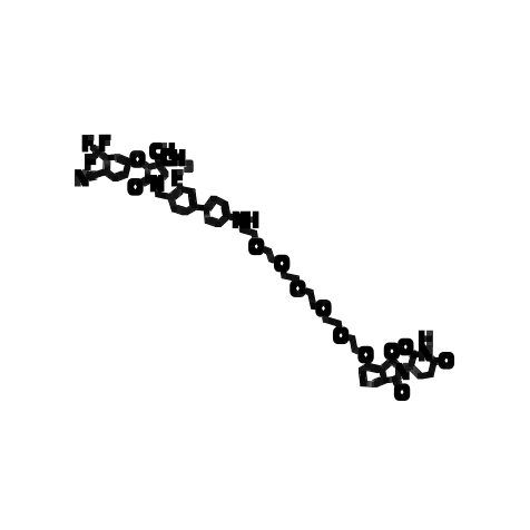 CC1(C)CN(Cc2ccc(-c3ccc(NCCOCCOCCOCCOCCOCCOc4cccc5c4C(=O)N(C4CCC(=O)NC4=O)C5=O)cc3)cc2F)C(=O)C1Oc1ccc(C#N)c(C(F)(F)F)c1